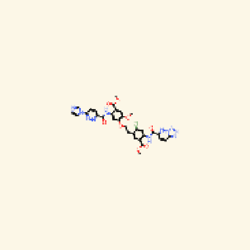 COC(=O)c1cc(OC)c(OCCc2cc(C(=O)OC)c(NC(=O)c3ccc4nnnn4n3)cc2Cl)cc1NC(=O)c1ccc(-n2ccnc2)nn1